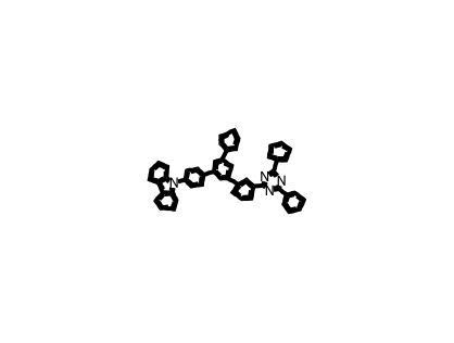 c1ccc(-c2cc(-c3ccc(-n4c5ccccc5c5ccccc54)cc3)cc(-c3cccc(-c4nc(-c5ccccc5)nc(-c5ccccc5)n4)c3)c2)cc1